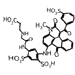 Cn1c(=O)c(C(=O)c2cccc(S(=O)(=O)O)c2)c2c3c(c(Nc4cc(NC(=O)CNCCC(=O)O)c(S(=O)(=O)O)cc4S(=O)(=O)O)ccc31)C(=O)c1ccccc1-2